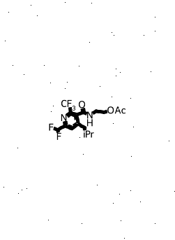 CC(=O)OCCNC(=O)c1c(CC(C)C)cc(C(F)F)nc1C(F)(F)F